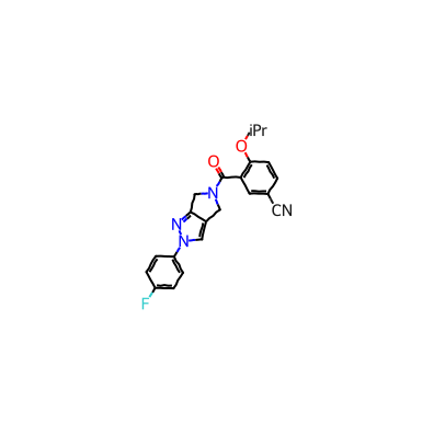 CC(C)Oc1ccc(C#N)cc1C(=O)N1Cc2cn(-c3ccc(F)cc3)nc2C1